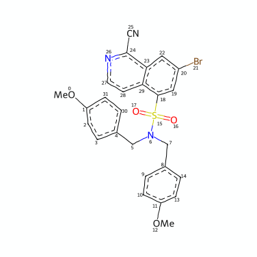 COc1ccc(CN(Cc2ccc(OC)cc2)S(=O)(=O)c2cc(Br)cc3c(C#N)nccc23)cc1